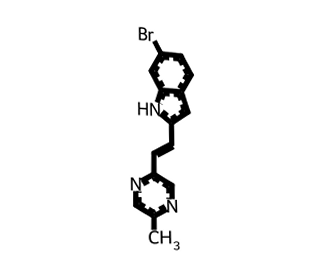 Cc1cnc(/C=C/c2cc3ccc(Br)cc3[nH]2)cn1